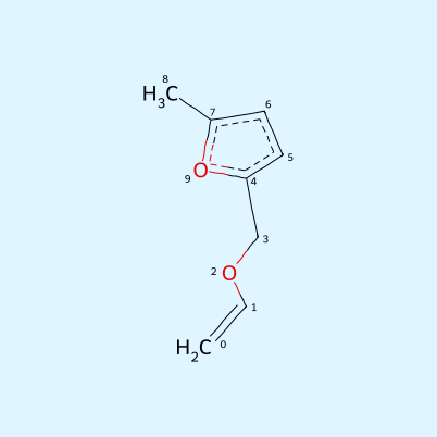 C=COCc1ccc(C)o1